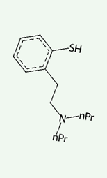 CCCN(CCC)CCc1ccccc1S